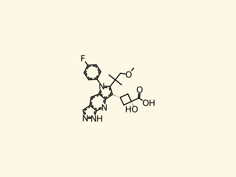 COCC(C)(C)c1c([C@H]2C[C@](O)(C(=O)O)C2)c2nc3[nH]ncc3cc2n1-c1ccc(F)cc1